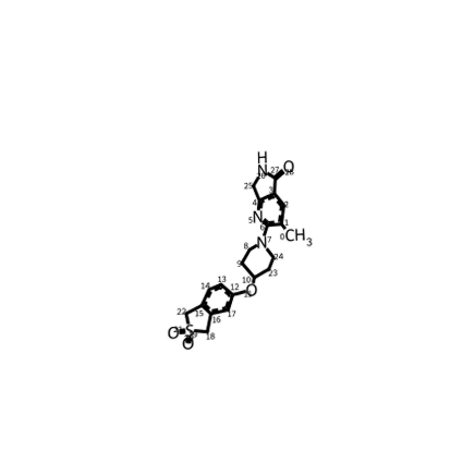 Cc1cc2c(nc1N1CCC(Oc3ccc4c(c3)CS(=O)(=O)C4)CC1)CNC2=O